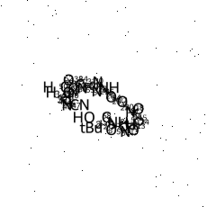 CC(C)(C)CC[C@H](NC(=O)c1ccc(Oc2cccc(C(=O)NCCOCCOCCNc3ncc(-c4ccc5c(n4)N(Cc4cccnc4C#N)C(C)(C)C5=O)cn3)c2)nc1)C(=O)O